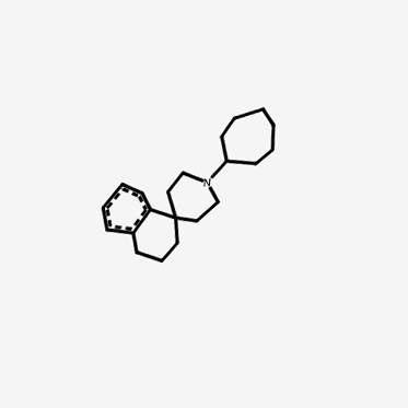 c1ccc2c(c1)CCCC21CCN(C2CCCCCC2)CC1